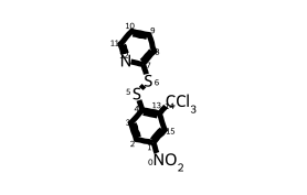 O=[N+]([O-])c1ccc(SSc2ccccn2)c(C(Cl)(Cl)Cl)c1